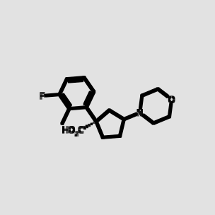 Cc1c(F)cccc1[C@]1(C(=O)O)CCC(N2CCOCC2)C1